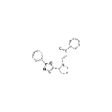 O=C(C=CN1CCCC1c1nnc(-c2ccccc2)o1)c1ccccc1